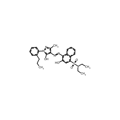 CCCc1ccccc1-n1nc(C)c(/N=N/c2c(O)cc(S(=O)(=O)N(CC)CC)c3ccccc23)c1O